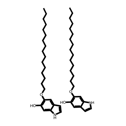 CCCCCCCCCCCCCCCCOc1cc2[nH]ccc2cc1O.CCCCCCCCCCCCCCCCOc1cc2cc[nH]c2cc1O